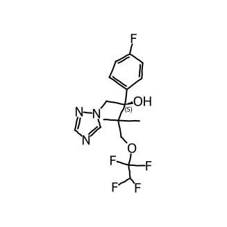 CC(C)(COC(F)(F)C(F)F)[C@](O)(Cn1cncn1)c1ccc(F)cc1